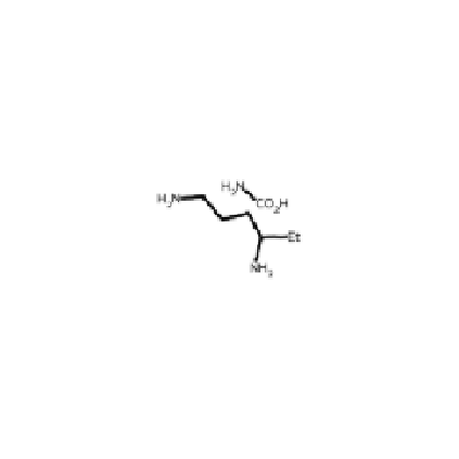 CCC(N)CCCN.NC(=O)O